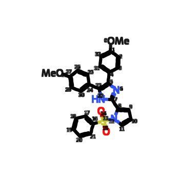 COc1ccc(-c2nc(-c3cccn3S(=O)(=O)c3ccccc3)[nH]c2-c2ccc(OC)cc2)cc1